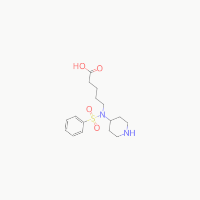 O=C(O)CCCCN(C1CCNCC1)S(=O)(=O)c1ccccc1